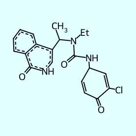 CCN(C(=O)NC1C=CC(=O)C(Cl)=C1)C(C)c1c[nH]c(=O)c2ccccc12